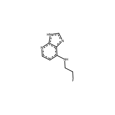 FCCNc1ccnc2[nH]cnc12